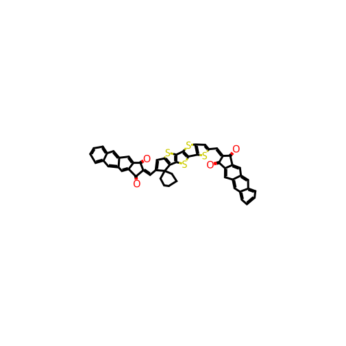 O=C1C(=CC2=Cc3sc4c(sc5c6sc(C=C7C(=O)c8cc9cc%10ccccc%10cc9cc8C7=O)cc6sc45)c3C23CCCCC3)C(=O)c2cc3cc4ccccc4cc3cc21